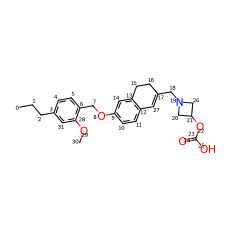 CCCc1ccc(COc2ccc3c(c2)CCC(CN2CC(OC(=O)O)C2)=C3)c(OC)c1